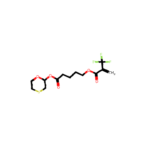 C=C(C(=O)OCCCCC(=O)OC1CSCCO1)C(F)(F)F